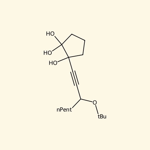 CCCCCC(C#CC1(O)CCCC1(O)O)OC(C)(C)C